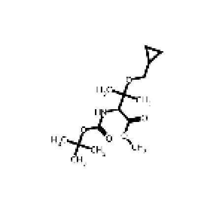 COC(=O)[C@@H](NC(=O)OC(C)(C)C)C(C)(C)OCC1CC1